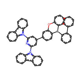 c1ccc(-c2ccccc2B2c3ccccc3Oc3cc(-c4cc(-n5c6ccccc6c6ccccc65)nc(-n5c6ccccc6c6ccccc65)c4)ccc32)cc1